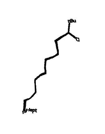 CCCCCCCCCCCCCCC(Cl)CCCC